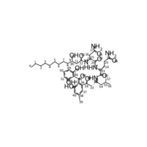 CCCCCCCCC[C@@H](O)CC(=O)N[C@@H](CC(N)=O)C(=O)N[C@@H](CCC(N)=O)C(=O)N[C@@H](CC(=O)c1cc(C)cc(O)c1C(=O)c1c(O)cccc1O)CC(C)C